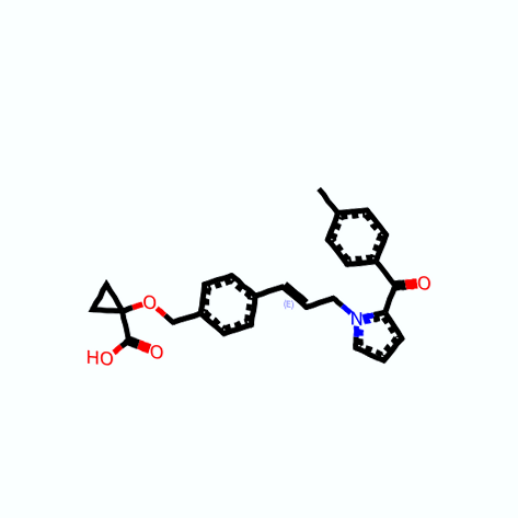 Cc1ccc(C(=O)c2cccn2C/C=C/c2ccc(COC3(C(=O)O)CC3)cc2)cc1